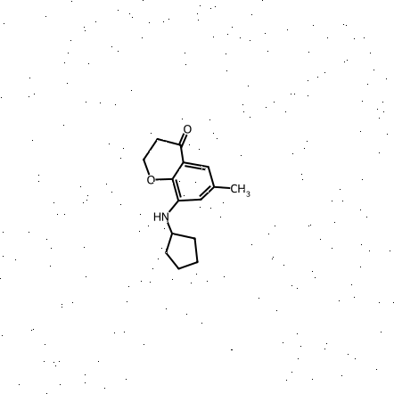 Cc1cc(NC2CCCC2)c2c(c1)C(=O)CCO2